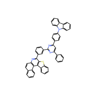 c1ccc(-c2cc(-c3ccc(-n4c5ccccc5c5ccccc54)cc3)nc(-c3cccc(-c4nc5ccc6ccccc6c5c5c4sc4ccccc45)c3)n2)cc1